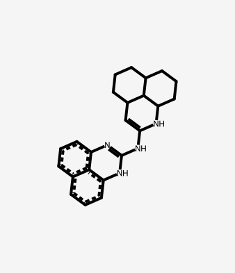 C1=C(NC2=Nc3cccc4cccc(c34)N2)NC2CCCC3CCCC1C32